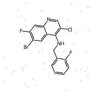 Fc1cc2ncc(Cl)c(NCc3ccccc3F)c2cc1Br